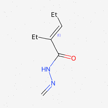 C=NNC(=O)/C(=C/CC)CC